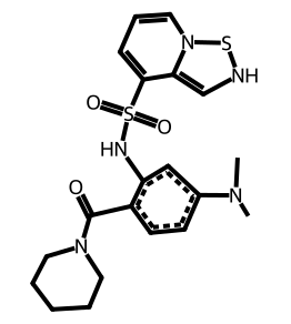 CN(C)c1ccc(C(=O)N2CCCCC2)c(NS(=O)(=O)C2=CC=CN3SNC=C23)c1